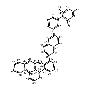 Cc1cc(C)c(-c2cccc(-c3ccc4cc(-c5cccc6c5Oc5cc7ccccc7c7cccc-6c57)ccc4c3)c2)c(C)c1